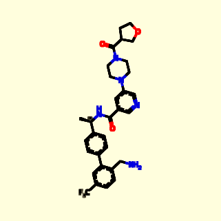 C[C@@H](NC(=O)c1cncc(N2CCN(C(=O)C3CCOC3)CC2)c1)c1ccc(-c2cc(C(F)(F)F)ccc2CN)cc1